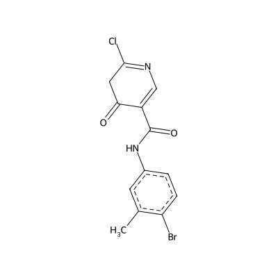 Cc1cc(NC(=O)C2=CN=C(Cl)CC2=O)ccc1Br